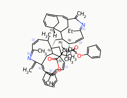 C=C1/N=C(CC)/C=C\[C@H](C)[C@@](CC(C)C(=O)Oc2ccccc2)(C[C@@]2(CC(C)C(=O)Oc3ccccc3)C(C)/C=C\C(C)=N\C(=C)/C3=C/C(C)=C/C=C\[C@H](C)C2C3)C2CC1=CC1=CC=C[C@@H]2C1